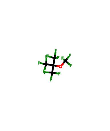 FC(F)(F)OC(C(F)(F)F)(C(F)(F)F)C(F)(F)F